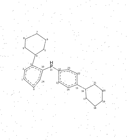 c1ccc(C2CCCCC2)c(Pc2ccc(C3CCCCC3)cc2)c1